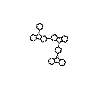 c1ccc(-n2c3ccccc3c3ccc(-c4ccc5c6ccccc6n(-c6ccc(-n7c8ccccc8c8ccccc87)cc6)c5c4)cc32)cc1